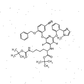 Cn1ccnc1-c1ccccc1Oc1nc(Oc2cc(C#N)ccc2OCc2ccccc2)c(F)c(NC(CCCCNC(=O)OC(C)(C)C)C(=O)OC(C)(C)C)c1F